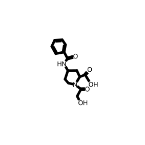 O=C(NC1CCN(C(=O)CO)C(C(=O)O)C1)c1ccccc1